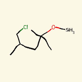 CC(CCl)CC(C)(C)O[SiH3]